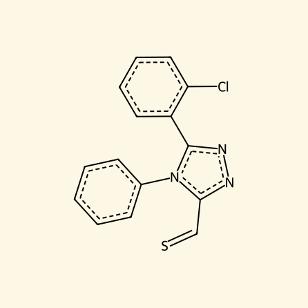 S=Cc1nnc(-c2ccccc2Cl)n1-c1ccccc1